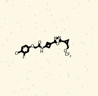 O=C(COc1ccc(Cl)c(F)c1)NC12CC(c3nnc(C4CC4COC(F)(F)F)o3)(C1)C2